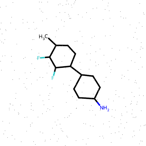 CC1CCC(C2CCC(N)CC2)C(F)C1F